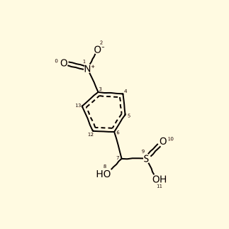 O=[N+]([O-])c1ccc(C(O)S(=O)O)cc1